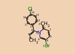 C=C1C=CC(Br)=CN1/C(=C\C)c1ccc(Cl)cc1